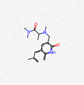 C=C(C)/C=c1/cc(CN(C)C(C)C(=O)N(C)C)c(=O)[nH]c1=C